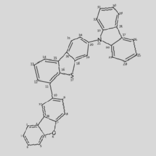 c1ccc2c(c1)oc1ccc(-c3cccc4c3sc3cc(-n5c6ccccc6c6ccccc65)ccc34)cc12